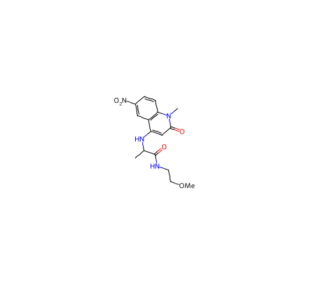 COCCNC(=O)C(C)Nc1cc(=O)n(C)c2ccc([N+](=O)[O-])cc12